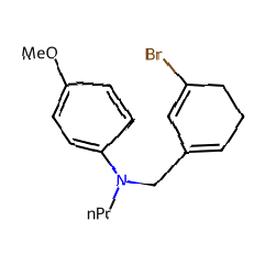 CCCN(CC1=CCCC(Br)=C1)c1ccc(OC)cc1